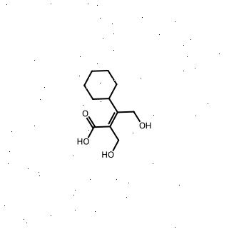 O=C(O)C(CO)=C(CO)C1CCCCC1